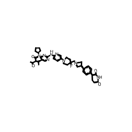 CC(=O)c1c(C)c2cnc(Nc3ccc(N4CCC(F)(CN5CC(c6ccc(C7CCC(=O)NC7=O)cc6)C5)CC4)cn3)nc2n(C2CCCC2)c1=O